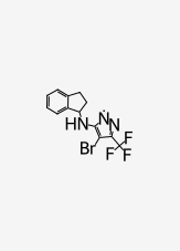 FC(F)(F)C1=N[N]C(NC2CCc3ccccc32)=C1Br